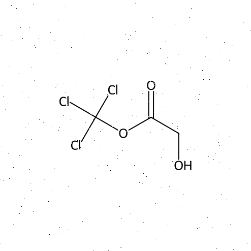 O=C(CO)OC(Cl)(Cl)Cl